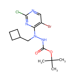 CC(C)(C)OC(=O)NN(CC1CCC1)c1nc(Cl)ncc1Br